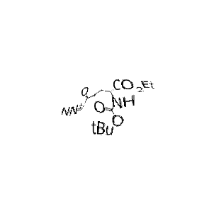 CCOC(=O)[C@@H](CCC(=O)C=[N+]=[N-])NC(=O)OC(C)(C)C